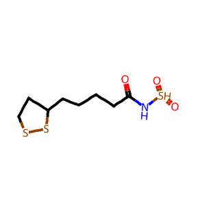 O=C(CCCCC1CCSS1)N[SH](=O)=O